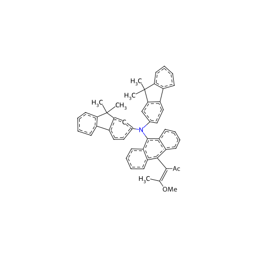 CO/C(C)=C(\C(C)=O)c1c2ccccc2c(N(c2ccc3c(c2)C(C)(C)c2ccccc2-3)c2ccc3c(c2)C(C)(C)c2ccccc2-3)c2ccccc12